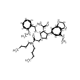 CCCCN(CCCC)C(=O)CN1CC(c2cc(OC)c3c(c2)OCO3)[C@H](C(=O)O)[C@H]1CCc1ccccc1OC